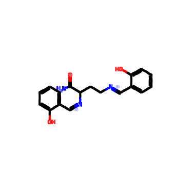 NC(=O)C(CC/N=C/c1ccccc1O)/N=C\c1ccccc1O